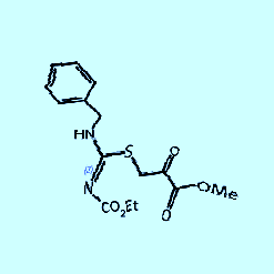 CCOC(=O)/N=C(/NCc1ccccc1)SCC(=O)C(=O)OC